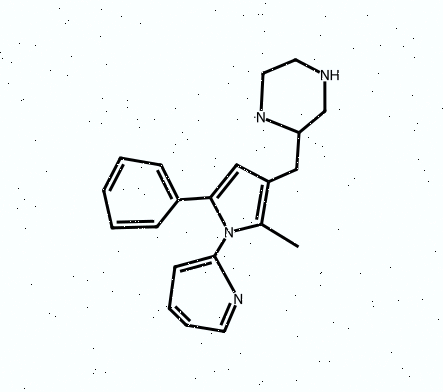 Cc1c(CC2CNCC[N]2)cc(-c2ccccc2)n1-c1ccccn1